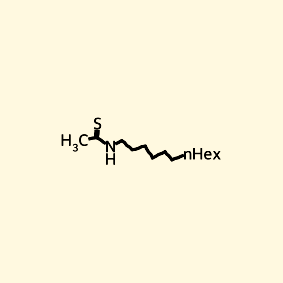 CCCCCCCCCCCCNC(C)=S